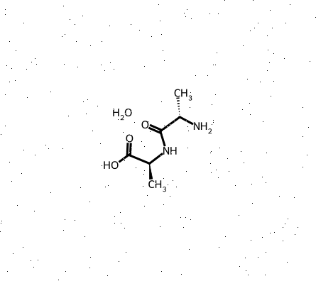 C[C@H](N)C(=O)N[C@@H](C)C(=O)O.O